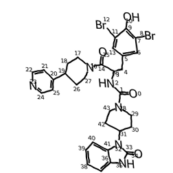 O=C(N[C@H](Cc1cc(Br)c(O)c(Br)c1)C(=O)N1CCC(c2ccncc2)CC1)N1CCC(n2c(=O)[nH]c3ccccc32)CC1